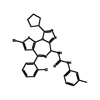 CCc1cc2c(s1)-n1c(C3CCCC3)nnc1C(NC(=O)Nc1cccc(C)c1)N=C2c1ccccc1Cl